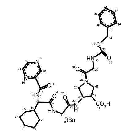 CC(C)(C)[C@H](NC(=O)[C@@H](NC(=O)c1cnccn1)C1CCCCC1)C(=O)N[C@H]1CN(C(=O)CNC(=O)OCc2ccccc2)C[C@H]1C(=O)O